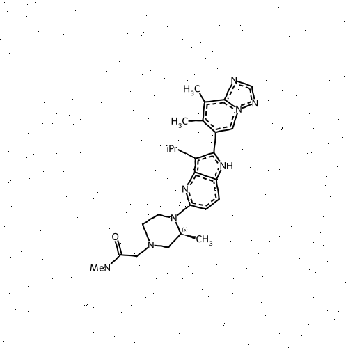 CNC(=O)CN1CCN(c2ccc3[nH]c(-c4cn5ncnc5c(C)c4C)c(C(C)C)c3n2)[C@@H](C)C1